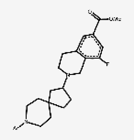 COC(=O)c1cc(F)c2c(c1)CCN(C1CCC3(CCN(C(C)=O)CC3)C1)C2